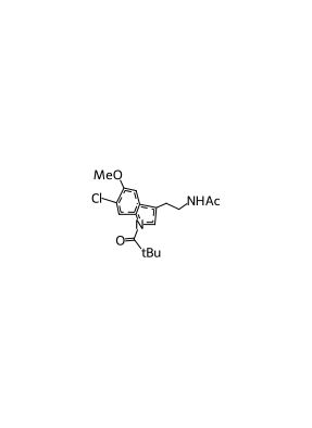 COc1cc2c(CCNC(C)=O)cn(C(=O)C(C)(C)C)c2cc1Cl